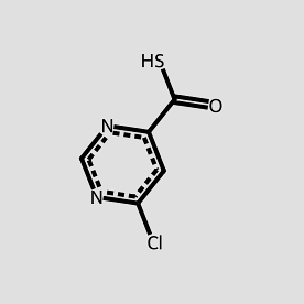 O=C(S)c1cc(Cl)ncn1